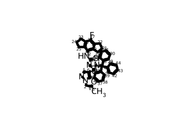 C[C@@H]1Cn2ncc(S(=O)(=NC(=O)Nc3c4c(c(F)c5c3CCC5)CCC4)NC(c3ccccc3)(c3ccccc3)c3ccccc3)c2O1